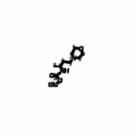 C[C@@H](CCN1CCOCC1)NC(=O)OC(C)(C)C